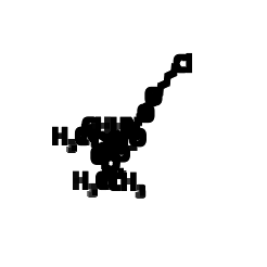 CN(C)c1ccc2c(P(=O)([O-])CCC(=O)NCCOCCOCCCCCCCl)c3ccc(=[N+](C)C)cc-3oc2c1